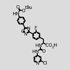 CC(C)(C)OC(=O)Nc1ccc(-c2nc(-c3ccc(CC(NC(=O)Nc4ccnc(Cl)c4)C(=O)O)cc3F)no2)cc1